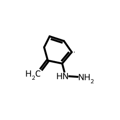 C=C1CC=C[C]=C1NN